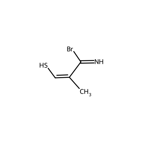 C/C(=C/S)C(=N)Br